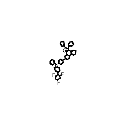 FC1CC(F)C(c2ccc(N(c3ccccc3)c3ccc(-c4ccc5c6ccccc6c6c(-c7ccccc7)c(-c7ccccc7)oc6c5c4)cc3)cc2)C(F)C1